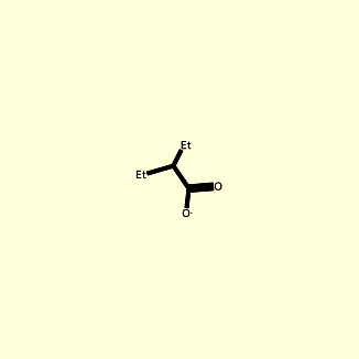 CCC(CC)C([O])=O